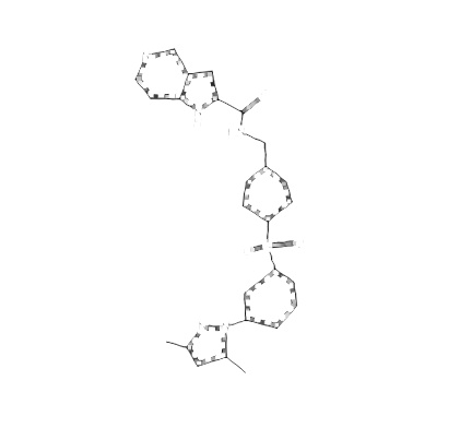 Cc1cc(C)n(-c2cccc(S(=O)(=O)c3ccc(CNC(=O)c4cc5cnccc5[nH]4)cc3)c2)n1